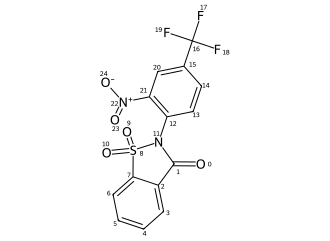 O=C1c2ccccc2S(=O)(=O)N1c1ccc(C(F)(F)F)cc1[N+](=O)[O-]